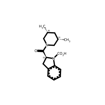 C[C@@H]1C[C@H](C)CN(C(=O)[C@@H]2Cc3ccccc3N2C(=O)O)C1